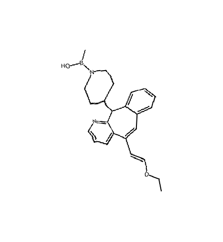 CCOC=CC1=Cc2ccccc2C(C2CCN(B(C)O)CC2)c2ncccc21